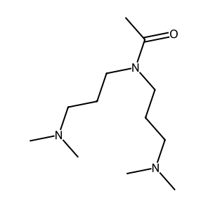 CC(=O)N(CCCN(C)C)CCCN(C)C